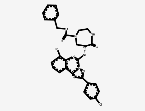 O=C1NCCN(C(=O)OCc2ccccc2)C[C@H]1Nc1nc2c(Br)cccc2c2nc(-c3ccc(Cl)cc3)nn12